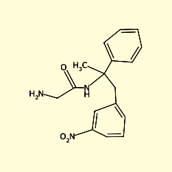 CC(Cc1cccc([N+](=O)[O-])c1)(NC(=O)CN)c1ccccc1